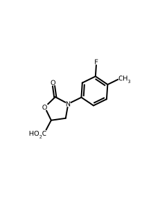 Cc1ccc(N2CC(C(=O)O)OC2=O)cc1F